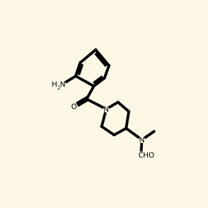 CN(C=O)C1CCN(C(=O)c2ccccc2N)CC1